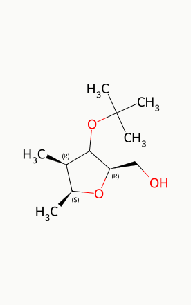 C[C@@H]1O[C@H](CO)C(OC(C)(C)C)[C@@H]1C